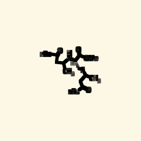 CCCCC(=O)CC(C)N[C@@H](CSC(C)CC(=O)CCCC)C(=O)OC